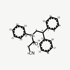 N#CCC(=O)N(CC(c1ccccc1)c1ccccc1)c1ccccc1